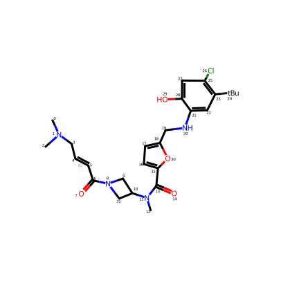 CN(C)C/C=C/C(=O)N1CC(N(C)C(=O)c2ccc(CNc3cc(C(C)(C)C)c(Cl)cc3O)o2)C1